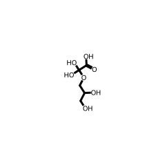 O=C(O)C(O)(O)OCC(O)CO